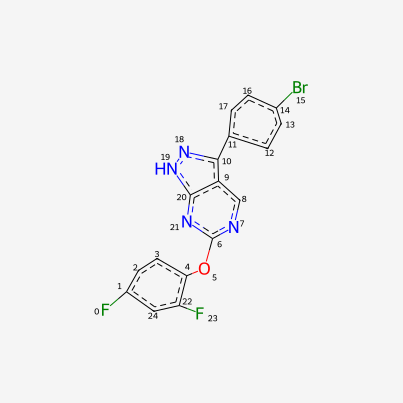 Fc1ccc(Oc2ncc3c(-c4ccc(Br)cc4)n[nH]c3n2)c(F)c1